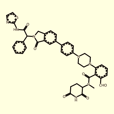 CN(C(=O)c1c(C=O)cccc1N1CCN(c2ccc(-c3ccc4c(c3)C(=O)N(C(C(=O)Nc3nccs3)c3ccccc3)C4)cc2)CC1)C1CCC(=O)NC1=O